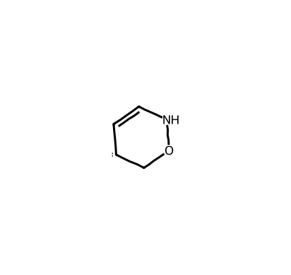 [C]1C=CNOC1